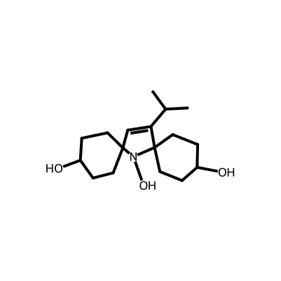 CC(C)C1=CC2(CCC(O)CC2)N(O)C12CCC(O)CC2